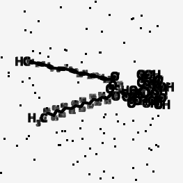 C#CC#CC#CC#CC#CC#CC#CC#CC(=O)OC[C@H](COP(=O)(O)OC1C(O)[C@@H](OP(=O)(O)O)C(OP(=O)(O)O)[C@@H](OP(=O)(O)O)[C@H]1O)OC(=O)CCCCCCCCCCCCCCC